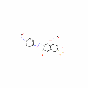 CC(=O)Nc1ccc(/N=N/c2c(S(=O)(=O)O)cc3cc(S(=O)(=O)O)cc(NC(C)=O)c3c2O)cc1